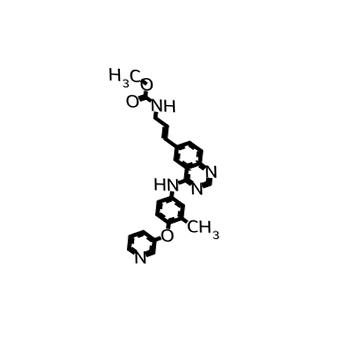 COC(=O)NC/C=C/c1ccc2ncnc(Nc3ccc(Oc4cccnc4)c(C)c3)c2c1